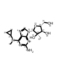 CN(c1nc(N)nc2c1ncn2[C@@H]1O[C@H](CO)[C@@H](O)[C@@]1(C)O)C1CC1